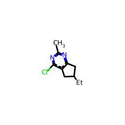 CCC1Cc2nc(C)nc(Cl)c2C1